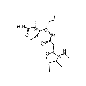 CCC[C@H](NC(=O)CC(OC)[C@@H](NC)C(C)CC)C(OC)[C@@H](C)C(N)=O